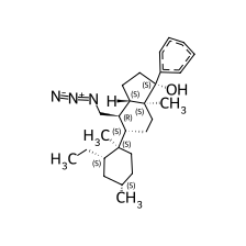 CC[C@H]1C[C@@H](C)CC[C@]1(C)[C@H]1CC[C@@]2(C)[C@@H](CC[C@@]2(O)c2ccccc2)[C@@H]1CN=[N+]=[N-]